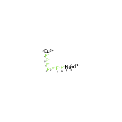 [Eu+3].[F-].[F-].[F-].[F-].[F-].[F-].[F-].[Gd+3].[Na+]